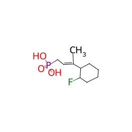 CC(=CCP(=O)(O)O)C1CCCCC1F